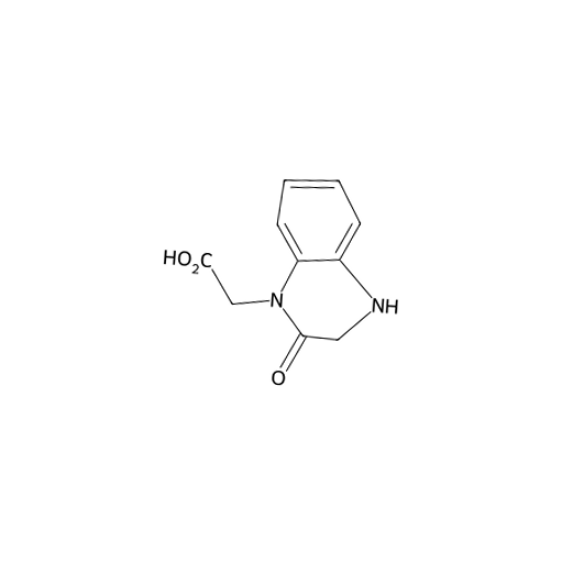 O=C(O)CN1C(=O)CNc2ccccc21